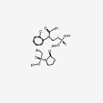 CCCC(=O)N(CSP(=S)(OC)OC)c1ccccc1Cl.CCOP(=O)(SC(C)CC)N1CCSC1=O